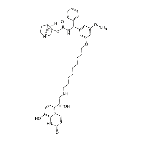 COc1cc(OCCCCCCCCCNC[C@H](O)c2ccc(O)c3[nH]c(=O)ccc23)cc(C(NC(=O)O[C@H]2CN3CCC2CC3)c2ccccc2)c1